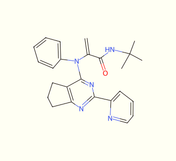 C=C(C(=O)NC(C)(C)C)N(c1ccccc1)c1nc(-c2ccccn2)nc2c1CCC2